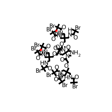 CN(CC(C(N)=O)(N(C)C(=O)COCC(CNC(=O)C(C)(C)Br)(CNC(=O)C(C)(C)Br)CNC(=O)C(C)(C)Br)N(C)C(=O)COCC(CNC(=O)C(C)(C)Br)(CNC(=O)C(C)(C)Br)CNC(=O)C(C)(C)Br)C(=O)COCC(CNC(=O)C(C)(C)Br)(CNC(=O)C(C)(C)Br)CNC(=O)C(C)(C)Br